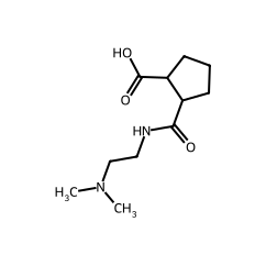 CN(C)CCNC(=O)C1CCCC1C(=O)O